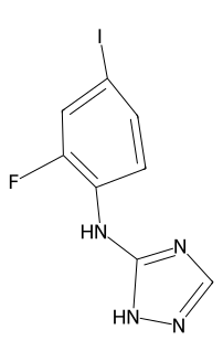 Fc1cc(I)ccc1Nc1ncn[nH]1